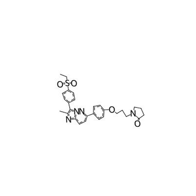 CCS(=O)(=O)c1ccc(-c2c(C)nc3ccc(-c4ccc(OCCCN5CCCC5=O)cc4)nn23)cc1